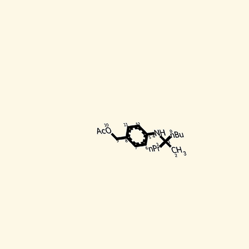 CCCCC(C)(CCC)Nc1ccc(COC(C)=O)cc1